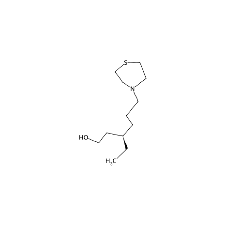 CC[C@@H](CCO)CCCN1CCSCC1